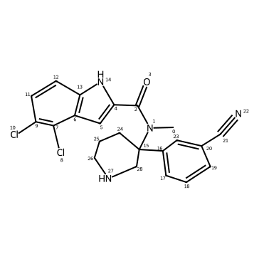 CN(C(=O)c1cc2c(Cl)c(Cl)ccc2[nH]1)C1(c2cccc(C#N)c2)CCCNC1